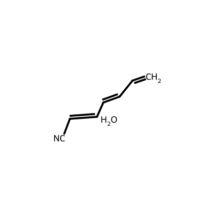 C=CC=CC=CC#N.O